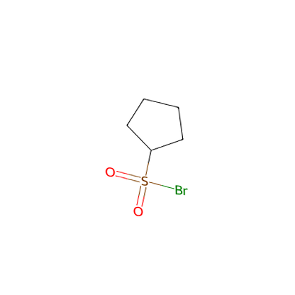 O=S(=O)(Br)C1CCCC1